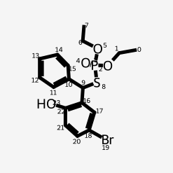 CCOP(=O)(OCC)SC(c1ccccc1)c1cc(Br)ccc1O